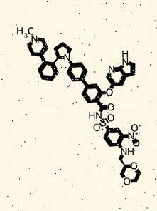 CN1CC=C(c2ccccc2[C@H]2CCCN2c2ccc(-c3ccc(C(=O)NS(=O)(=O)c4ccc(NC[C@@H]5COCCO5)c([N+](=O)[O-])c4)c(Oc4cnc5[nH]ccc5c4)c3)cc2)CC1